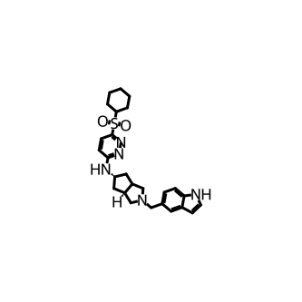 O=S(=O)(c1ccc(N[C@@H]2CC3CN(Cc4ccc5[nH]ccc5c4)C[C@H]3C2)nn1)C1CCCCC1